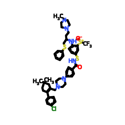 CN1CCN(CCC(CSc2ccccc2)Nc2ccc(SNC(=O)c3ccc(N4CCN(CC5=C(c6ccc(Cl)cc6)CCC(C)(C)C5)CC4)cc3)cc2[S+]([O-])C(F)(F)F)CC1